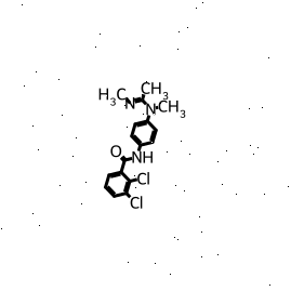 CN=C(C)N(C)c1ccc(NC(=O)c2cccc(Cl)c2Cl)cc1